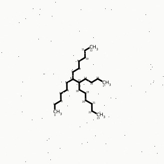 CCCCCC[C](CCCCCC)C(CCCC)CCCCCC